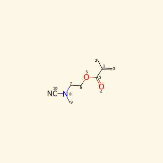 C=C(C)C(=O)OCCN(C)C#N